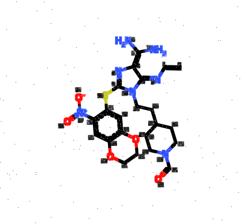 C=C/N=C1\C(=C(N)N)N=C(Sc2cc3c(cc2[N+](=O)[O-])OCCO3)N1CCC1CCN(C=O)CC1